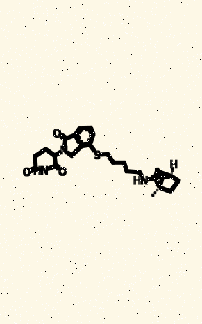 CC1(C)[C@@H]2CC[C@@]1(C)C(NCCCCCSc1cccc3c1CN(C1CCC(=O)NC1=O)C3=O)C2